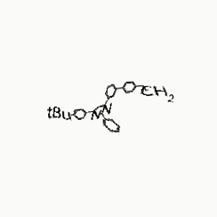 C=Cc1ccc(-c2cccc(-c3cc(-c4ccc(C(C)(C)C)cc4)nc(-c4ccccc4)n3)c2)cc1